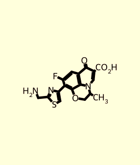 CC1COc2c(-c3csc(CN)n3)c(F)cc3c(=O)c(C(=O)O)cn1c23